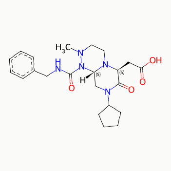 CN1CCN2[C@@H](CC(=O)O)C(=O)N(C3CCCC3)C[C@@H]2N1C(=O)NCc1ccccc1